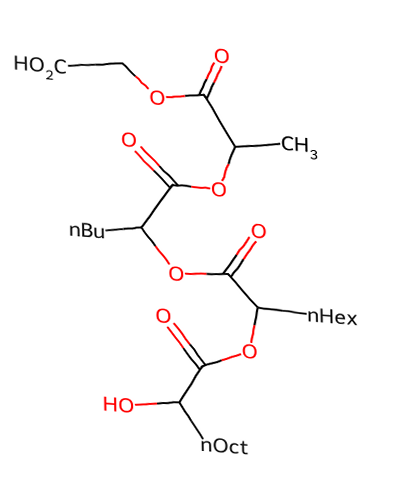 CCCCCCCCC(O)C(=O)OC(CCCCCC)C(=O)OC(CCCC)C(=O)OC(C)C(=O)OCC(=O)O